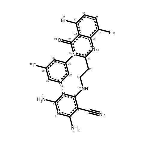 N#Cc1c(N)nc(N)nc1NCCc1nc2c(F)ccc(Br)c2c(=O)n1-c1cncc(F)c1